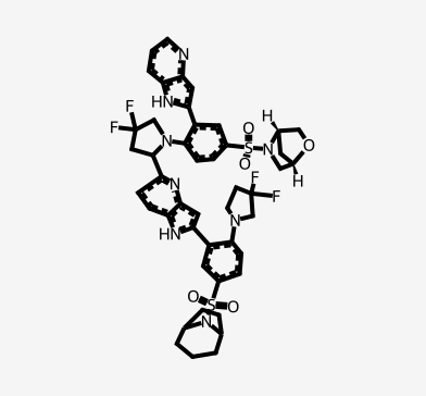 O=S(=O)(c1ccc(N2CCC(F)(F)C2)c(-c2cc3nc(C4CC(F)(F)CN4c4ccc(S(=O)(=O)N5C[C@@H]6C[C@H]5CO6)cc4-c4cc5ncccc5[nH]4)ccc3[nH]2)c1)N1C2CCCC1CC2